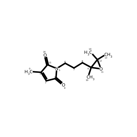 CC1=CC(=O)N(CCCC2(C)OC2(C)C)C1=O